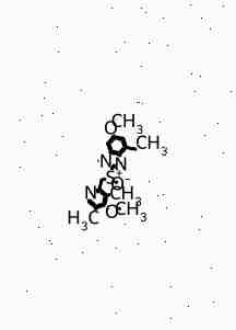 CCc1cc(OC)cc2c1N=C([S+]([O-])Cc1ncc(C)c(OC)c1C)[N]2